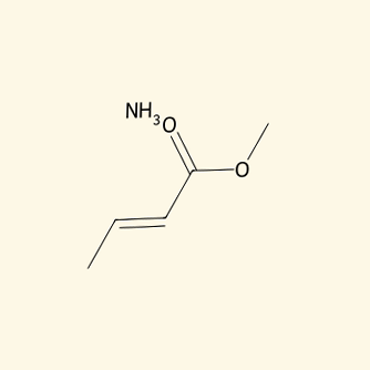 C/C=C/C(=O)OC.N